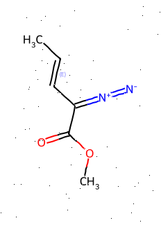 C/C=C/C(=[N+]=[N-])C(=O)OC